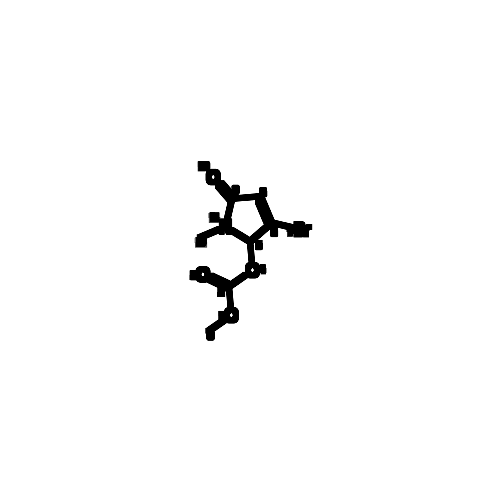 COC(=O)OC1C(Br)=CC(=O)N1C